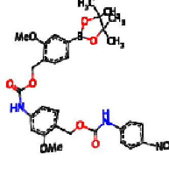 COc1cc(NC(=O)OCc2ccc(B3OC(C)(C)C(C)(C)O3)cc2OC)ccc1COC(=O)Nc1ccc([N+](=O)[O-])cc1